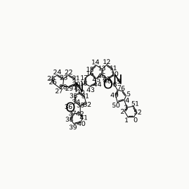 c1ccc(-c2ccc(-c3nc4ccc5ccc6cc(N(c7ccc8ccccc8c7)c7ccc8c(c7)oc7ccccc78)ccc6c5c4o3)cc2)cc1